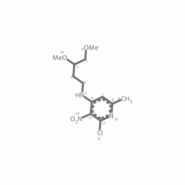 COCC(CCNc1cc(C)nc(Cl)c1[N+](=O)[O-])OC